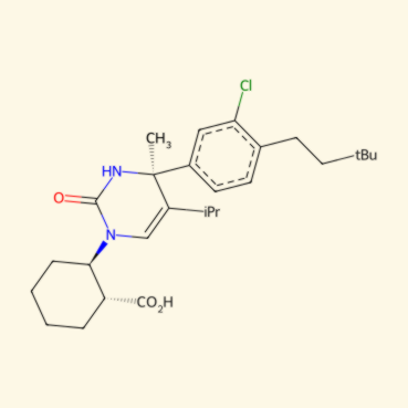 CC(C)C1=CN([C@@H]2CCCC[C@H]2C(=O)O)C(=O)N[C@@]1(C)c1ccc(CCC(C)(C)C)c(Cl)c1